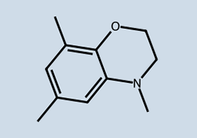 Cc1cc(C)c2c(c1)N(C)CCO2